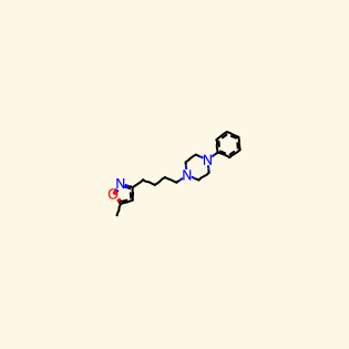 Cc1cc(CCCCN2CCN(c3ccccc3)CC2)no1